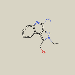 CCn1nc2c(N)nc3ccccc3c2c1CO